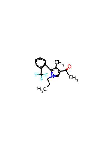 CCCn1cc(C(C)=O)c(C)c1-c1ccccc1C(F)(F)F